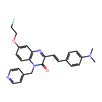 CN(C)c1ccc(/C=C/c2nc3cc(OCCF)ccc3n(Cc3ccncc3)c2=O)cc1